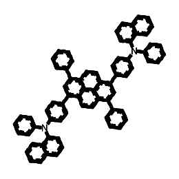 c1ccc(-c2cc(-c3ccc(N(c4ccccc4)c4cccc5ccccc45)cc3)c3ccc4c(-c5ccccc5)cc(-c5ccc(N(c6ccccc6)c6cccc7ccccc67)cc5)c5ccc2c3c45)cc1